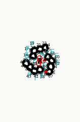 Fc1c(F)c(OB(Oc2c(F)c(F)c(F)c3c(F)c(F)c4cc5ccccc5cc4c23)Oc2c(F)c(F)c(F)c3c(F)c(F)c4cc5ccccc5cc4c23)c2c(c1F)c(F)c(F)c1cc3ccccc3cc12